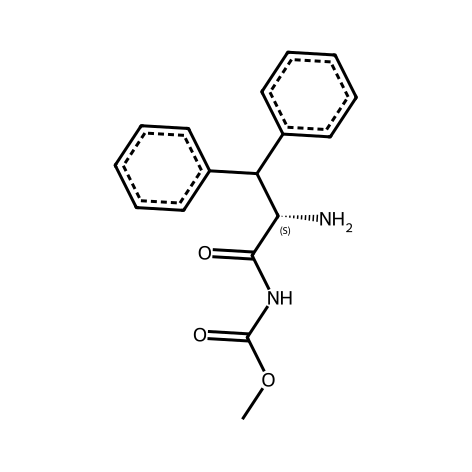 COC(=O)NC(=O)[C@@H](N)C(c1ccccc1)c1ccccc1